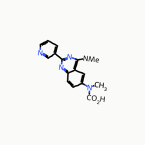 CNc1nc(-c2cccnc2)nc2ccc(N(C)C(=O)O)cc12